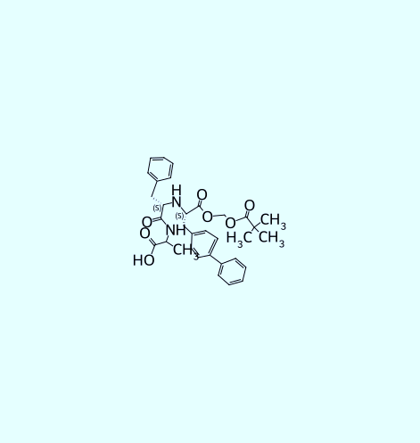 CC(NC(=O)[C@H](Cc1ccccc1)N[C@@H](Cc1ccc(-c2ccccc2)cc1)C(=O)OCOC(=O)C(C)(C)C)C(=O)O